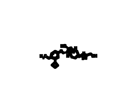 CCc1ccc(OC[C@@H]2[C@H]3CC[C@H](c4nc(CO)cs4)C[C@H]3C[C@@H]2O)cc1C1CCC1